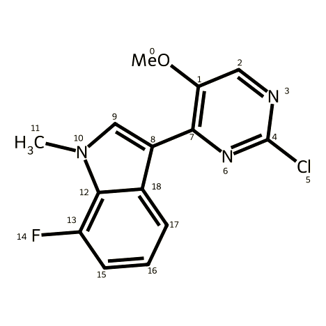 COc1cnc(Cl)nc1-c1cn(C)c2c(F)cccc12